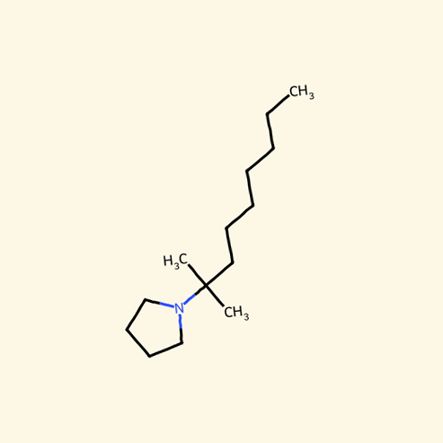 CCCCCCCC(C)(C)N1CCCC1